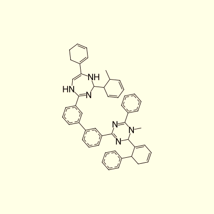 CC1C=CC=CC1C1N=C(c2cccc(-c3cccc(C4=NC(C5=CC=CCC5c5ccccc5)N(C)C(c5ccccc5)=N4)c3)c2)NC=C(C2=CC=CCC2)N1